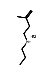 C=C(C)CCNCCC.Cl